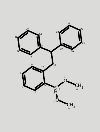 CO[SiH](OC)c1ccccc1CC(c1ccccc1)c1ccccc1